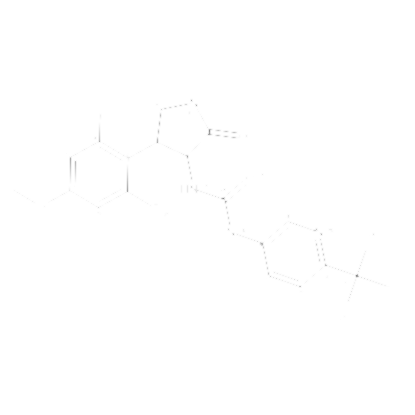 COc1cc(F)c(C2CNC(=O)C2NC(=O)Nc2ccc(C(F)(F)F)nc2)c(F)c1